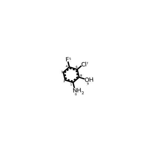 Nc1ccc(F)c(Cl)c1O